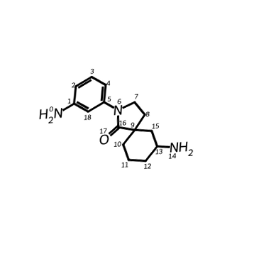 Nc1cccc(N2CCC3(CCCC(N)C3)C2=O)c1